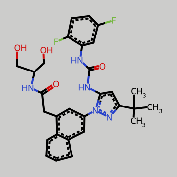 CC(C)(C)c1cc(NC(=O)Nc2cc(F)ccc2F)n(-c2cc(CC(=O)NC(CO)CO)c3ccccc3c2)n1